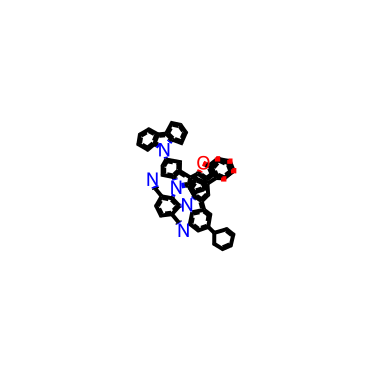 N#Cc1ccc(C#N)c(-n2c3ccc(-n4c5ccccc5c5ccccc54)cc3c3c4oc5ccccc5c4ccc32)c1-n1c2ccc(-c3ccccc3)cc2c2cc(C3C=CC=CC3)ccc21